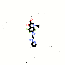 O=Cc1cn(C2CC2)c2c(F)c(NCCNc3ccccn3)c(F)c(F)c2c1=O